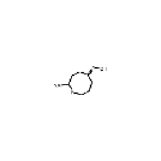 CCCCC1CCC(=NO)CCCN1